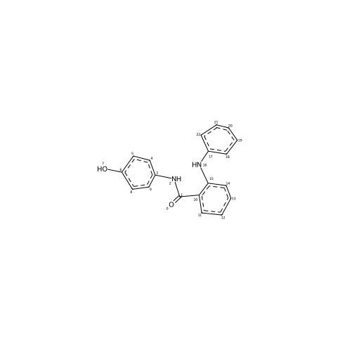 O=C(Nc1ccc(O)cc1)c1ccccc1Nc1ccccc1